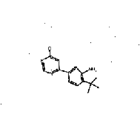 CC(C)(C)c1ccc(-c2cc(Cl)ncn2)cc1N